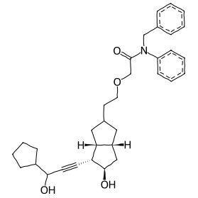 O=C(COCCC1C[C@@H]2C[C@@H](O)[C@H](C#CC(O)C3CCCC3)[C@@H]2C1)N(Cc1ccccc1)c1ccccc1